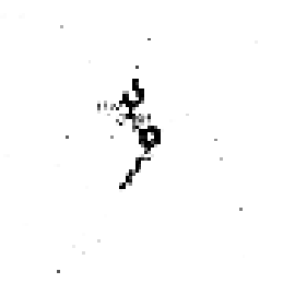 CC/C=C\C(C(=O)NCc1cccc(OCCCCC)c1)=C(/C)N